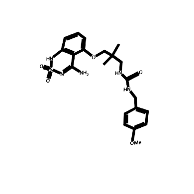 COc1ccc(CNC(=O)NCC(C)(C)COc2cccc3c2C(N)=NS(=O)(=O)N3)cc1